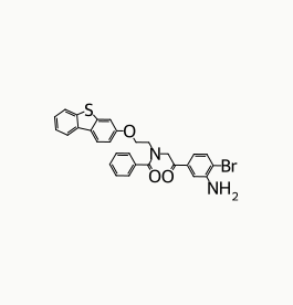 Nc1cc(C(=O)CN(CCOc2ccc3c(c2)sc2ccccc23)C(=O)c2ccccc2)ccc1Br